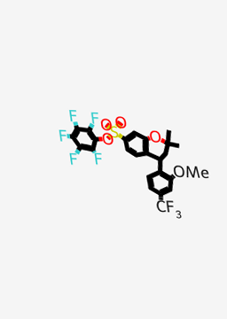 COc1cc(C(F)(F)F)ccc1C1CC(C)(C)Oc2cc(S(=O)(=O)Oc3c(F)c(F)c(F)c(F)c3F)ccc21